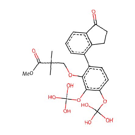 COC(=O)C(C)(C)COc1c(-c2cccc3c2CCC3=O)ccc(OC(O)(O)O)c1OC(O)(O)O